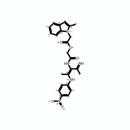 CC(=N)/C(NC(=O)COC(=O)Cn1c(C)cc2ccccc21)=C(/C)Nc1ccc([N+](=O)[O-])cc1